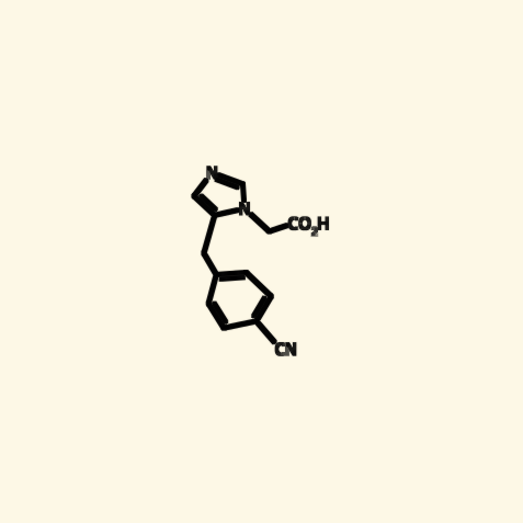 N#Cc1ccc(Cc2cncn2CC(=O)O)cc1